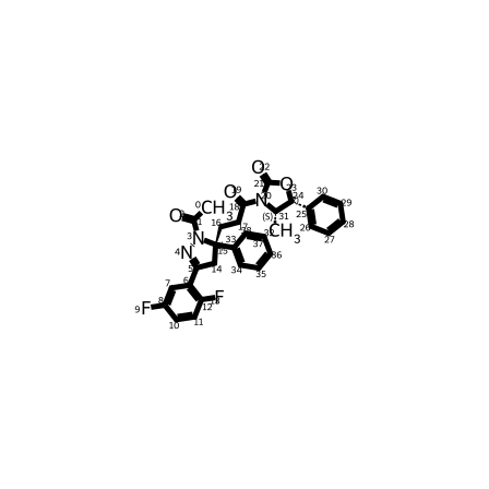 CC(=O)N1N=C(c2cc(F)ccc2F)C[C@@]1(CCC(=O)N1C(=O)O[C@H](c2ccccc2)[C@@H]1C)c1ccccc1